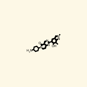 Cc1c(O)c(-c2ncc3c(=O)n(C4CCC(N)CC4)ccc3n2)cc2cn(C)nc12